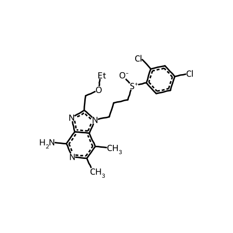 CCOCc1nc2c(N)nc(C)c(C)c2n1CCC[S+]([O-])c1ccc(Cl)cc1Cl